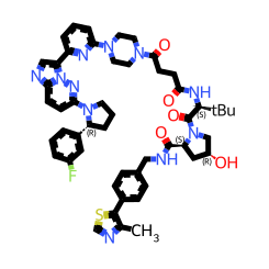 Cc1ncsc1-c1ccc(CNC(=O)[C@@H]2C[C@@H](O)CN2C(=O)[C@@H](NC(=O)CCC(=O)N2CCN(c3cccc(-c4cnc5ccc(N6CCC[C@@H]6c6cccc(F)c6)nn45)n3)CC2)C(C)(C)C)cc1